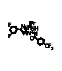 CC(C)CN/C(=N/C(=O)c1ccc(C(F)(F)F)cc1)Nc1cc(-c2cc(F)cc(F)c2)n[nH]1